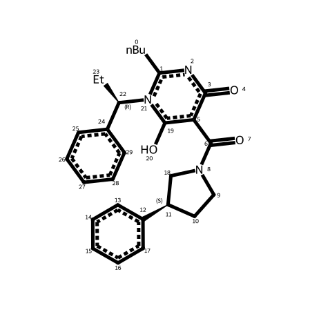 CCCCc1nc(=O)c(C(=O)N2CC[C@@H](c3ccccc3)C2)c(O)n1[C@H](CC)c1ccccc1